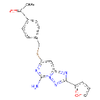 COC(=O)c1ccc(CSc2cc3nc(-c4ccco4)nn3c(N)n2)cc1